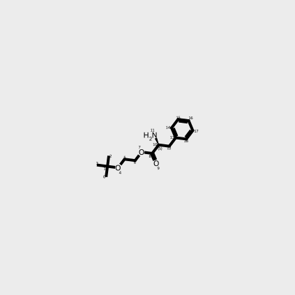 CC(C)(C)OCCOC(=O)[C@@H](N)Cc1ccccc1